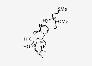 COC(=O)[C@H](CCSC)Nc1ccn([C@@H](CF)O[C@@](CO)(N=[N+]=[N-])[C@@H](C)O)c(=O)n1